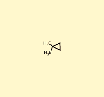 BC1(C)CC1